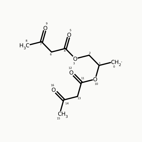 [CH2]C(COC(=O)CC(C)=O)OC(=O)CC(C)=O